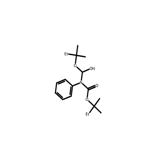 CCC(C)(C)OC(=O)N(c1ccccc1)C(O)OC(C)(C)CC